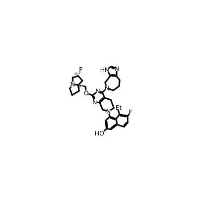 CCc1c(F)ccc2cc(O)cc(N3CCc4c(nc(OC[C@@]56CCCN5C[C@H](F)C6)nc4N4CCCc5nc[nH]c5C4)C3)c12